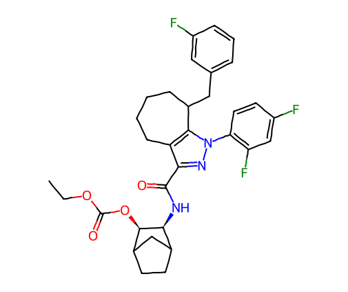 CCOC(=O)O[C@@H]1C2CCC(C2)[C@@H]1NC(=O)c1nn(-c2ccc(F)cc2F)c2c1CCCCC2Cc1cccc(F)c1